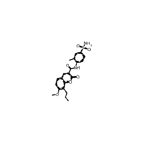 CCCc1c(OC)ccc2cc(C(=O)Nc3ccc(S(N)(=O)=O)cc3C)c(=O)oc12